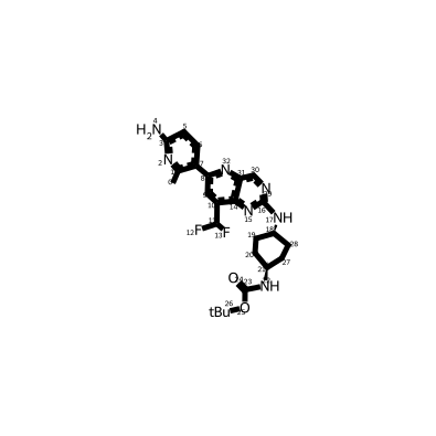 Cc1nc(N)ccc1-c1cc(C(F)F)c2nc(N[C@H]3CC[C@H](NC(=O)OC(C)(C)C)CC3)ncc2n1